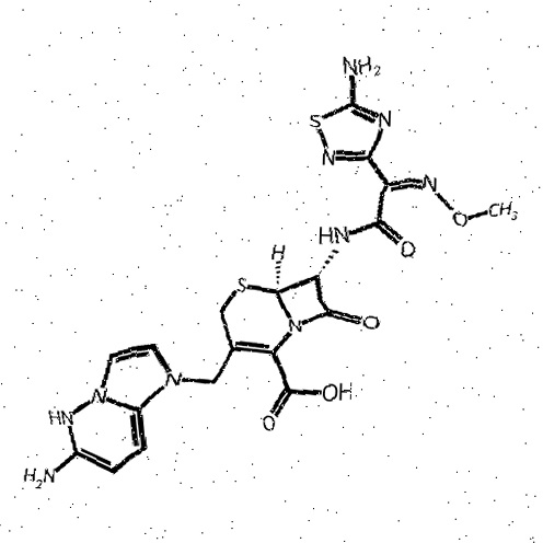 CO/N=C(\C(=O)N[C@@H]1C(=O)N2C(C(=O)O)=C(CN3C=CN4NC(N)=CC=C34)CS[C@@H]12)c1nsc(N)n1